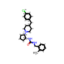 Cc1ccccc1CNC(=O)N[C@@H]1CCC[C@H]1N1CCC(Cc2ccc(Cl)cc2)CC1